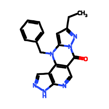 CCc1cc2n(Cc3ccccc3)c3c(cnc4[nH]ncc43)c(=O)n2n1